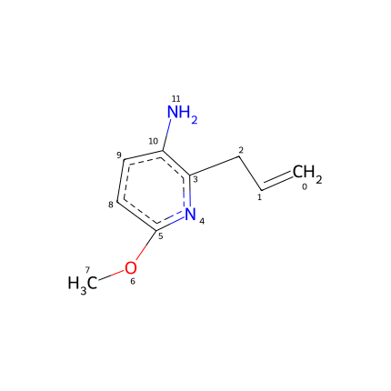 C=CCc1nc(OC)ccc1N